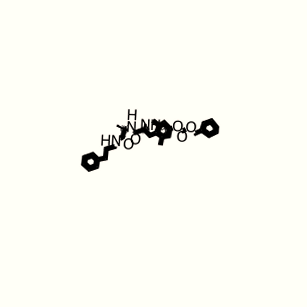 Cc1cc(OC(=O)OCc2ccccc2)cc(C)c1C[C@H](N)C(=O)N[C@H](C)C(=O)NCCCc1ccccc1